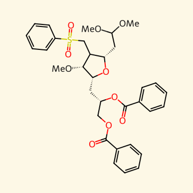 COC(C[C@@H]1O[C@H](C[C@@H](COC(=O)c2ccccc2)OC(=O)c2ccccc2)[C@H](OC)C1CS(=O)(=O)c1ccccc1)OC